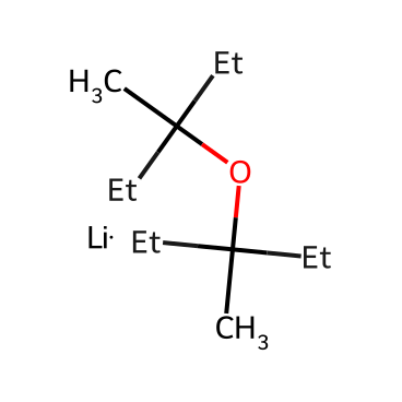 CCC(C)(CC)OC(C)(CC)CC.[Li]